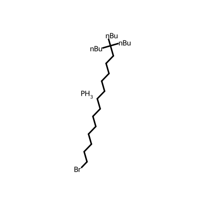 CCCCC(CCCC)(CCCC)CCCCCCCCCCCCCBr.P